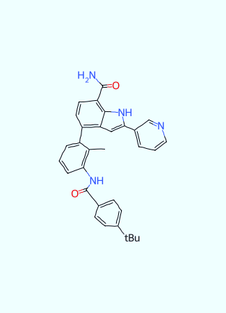 Cc1c(NC(=O)c2ccc(C(C)(C)C)cc2)cccc1-c1ccc(C(N)=O)c2[nH]c(-c3cccnc3)cc12